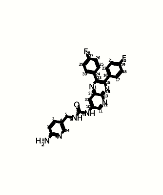 Nc1ccc(CNC(=O)Nc2cnc3nc(-c4ccc(F)cc4)c(-c4ccc(F)cc4)nc3c2)cn1